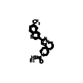 CCNC(=O)N1CCC2(CCCn3nc(-c4cnc5ccc(C(F)(F)F)cc5c4)cc32)CC1